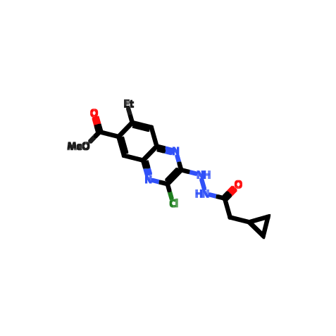 CCc1cc2nc(NNC(=O)CC3CC3)c(Cl)nc2cc1C(=O)OC